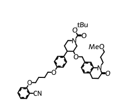 COCCCN1C(=O)CCc2ccc(COC3CN(C(=O)OC(C)(C)C)CCC3c3ccc(OCCCCOc4ccccc4C#N)cc3)cc21